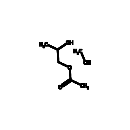 CC(=O)OCC(C)O.CO